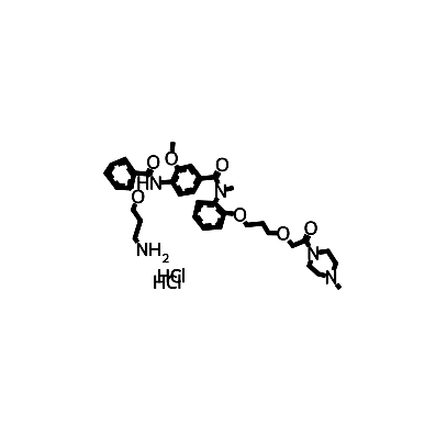 COc1cc(C(=O)N(C)c2ccccc2OCCCOCC(=O)N2CCN(C)CC2)ccc1NC(=O)c1ccccc1OCCCN.Cl.Cl